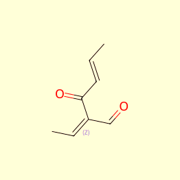 CC=CC(=O)/C(C=O)=C\C